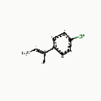 C/C(=C\[N+](=O)[O-])c1ccc(Cl)cc1